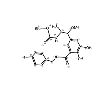 COC(c1nc(O)c(O)c(C(=O)NCc2ccc(F)cc2)n1)C(C)NC(=O)OC(C)(C)C